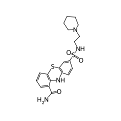 NC(=O)c1cccc2c1Nc1ccc(S(=O)(=O)NCCN3CCCCC3)cc1S2